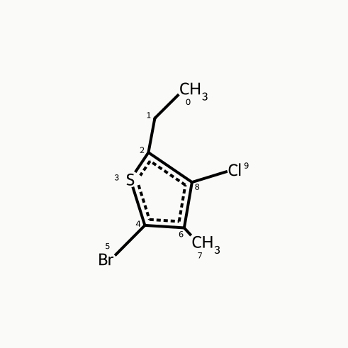 CCc1sc(Br)c(C)c1Cl